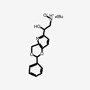 CC(C)(C)[NH+]([O-])CC(O)c1ccc2c(n1)COC(c1ccccc1)O2